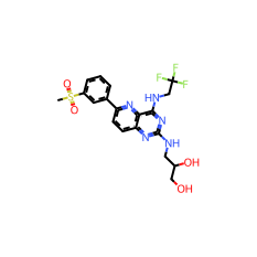 CS(=O)(=O)c1cccc(-c2ccc3nc(NCC(O)CO)nc(NCC(F)(F)F)c3n2)c1